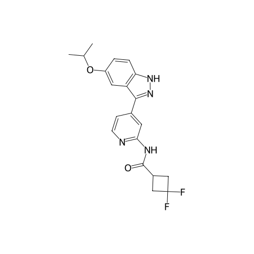 CC(C)Oc1ccc2[nH]nc(-c3ccnc(NC(=O)C4CC(F)(F)C4)c3)c2c1